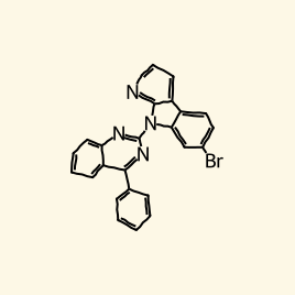 Brc1ccc2c3cccnc3n(-c3nc(-c4ccccc4)c4ccccc4n3)c2c1